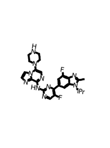 Cc1nc2c(F)cc(-c3nc(Nc4ncc(N5CCNCC5)n5ccnc45)ncc3F)cc2n1C(C)C